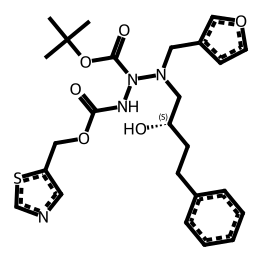 CC(C)(C)OC(=O)N(NC(=O)OCc1cncs1)N(Cc1ccoc1)C[C@@H](O)CCc1ccccc1